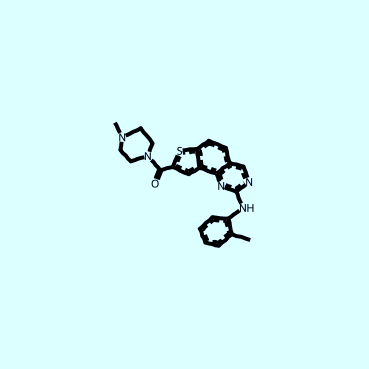 Cc1ccccc1Nc1ncc2ccc3sc(C(=O)N4CCN(C)CC4)cc3c2n1